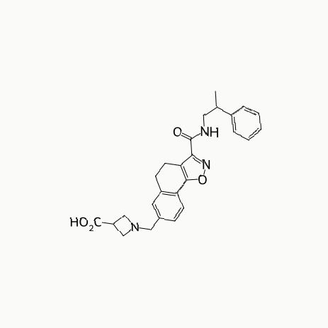 CC(CNC(=O)c1noc2c1CCc1cc(CN3CC(C(=O)O)C3)ccc1-2)c1ccccc1